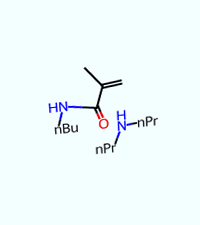 C=C(C)C(=O)NCCCC.CCCNCCC